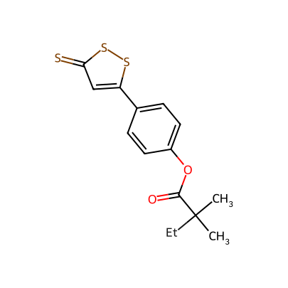 CCC(C)(C)C(=O)Oc1ccc(-c2cc(=S)ss2)cc1